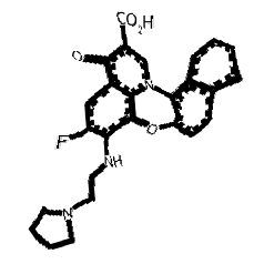 O=C(O)c1cn2c3c(c(NCCN4CCCC4)c(F)cc3c1=O)Oc1ccc3ccccc3c1-2